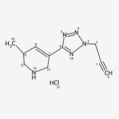 C#CCn1nnc(C2=CC(C)CNC2)n1.Cl